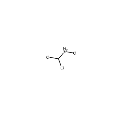 Cl[SiH2]C(Cl)Cl